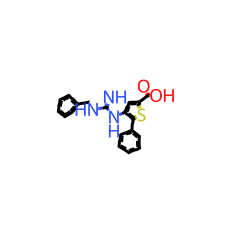 N=C(NCc1ccccc1)Nc1cc(C(=O)O)sc1-c1ccccc1